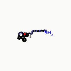 C=C1/C=C\C=C/CC2(CCCC2)c2cc3ccccc3c(-c3ccc(C\C=C/C=C\C=C\C/C=C/CC/C=C\N)cc3)c21